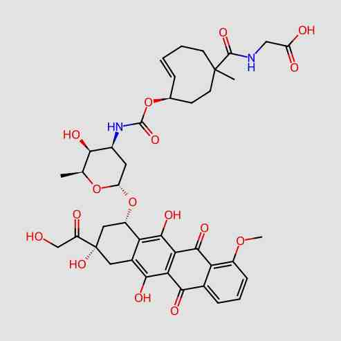 COc1cccc2c1C(=O)c1c(O)c3c(c(O)c1C2=O)C[C@@](O)(C(=O)CO)C[C@@H]3O[C@H]1C[C@H](NC(=O)O[C@H]2/C=C/CCC(C)(C(=O)NCC(=O)O)CC2)[C@H](O)[C@H](C)O1